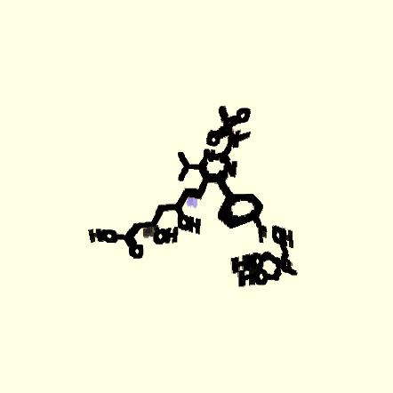 CC(C)c1nc(N(C)S(C)(=O)=O)nc(-c2ccc(F)cc2)c1/C=C/C(O)C[C@H](O)CC(=O)O.C[N+](CO)(CO)CO